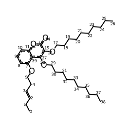 CCC=CCCOc1cccc2oc(=O)c(OCCCCCCCCCC)c(OCCCCCCCCCC)c12